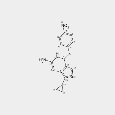 NC(=S)NC(Cc1ccc([N+](=O)[O-])cc1)c1csc(C2CC2)n1